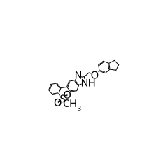 CS(=O)(=O)c1ccccc1-c1ccc2[nH]c(COc3ccc4c(c3)CCC4)nc2c1